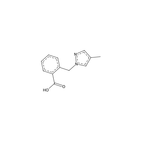 Cc1cnn(Cc2ccccc2C(=O)O)c1